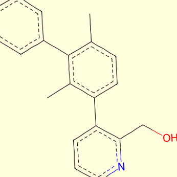 Cc1ccc(-c2cccnc2CO)c(C)c1-c1ccccc1